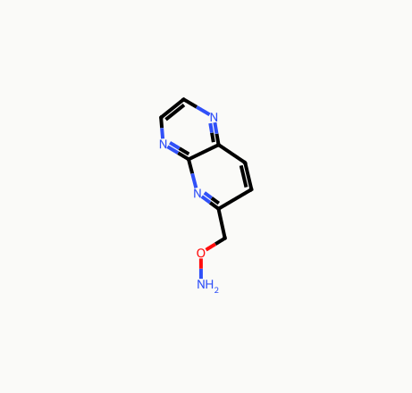 NOCc1ccc2nccnc2n1